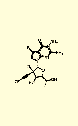 C[C@@H](O)[C@H]1O[C@@H](n2cc(F)c3c(=O)n(N)c(N)nc32)[C@@](Cl)(C#CCl)C1O